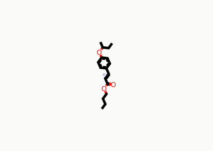 CCCCOC(=O)/C=C/c1ccc(OC(C)CC)cc1